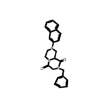 O=C1C2CN(c3ccc4ccccc4c3)CCN2C(=O)CN1Cc1ccccc1